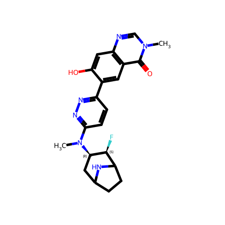 CN(c1ccc(-c2cc3c(=O)n(C)cnc3cc2O)nn1)[C@@H]1CC2CCC(N2)[C@@H]1F